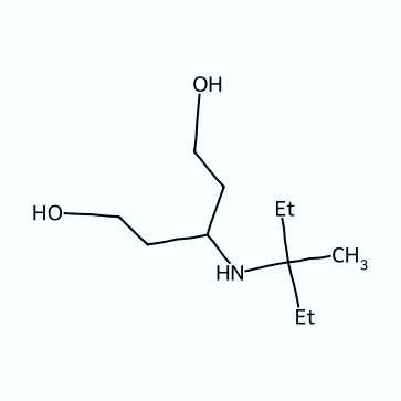 CCC(C)(CC)NC(CCO)CCO